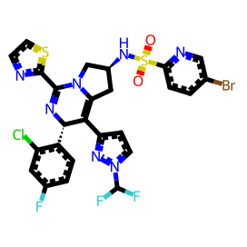 O=S(=O)(N[C@H]1CC2=C(c3ccn(C(F)F)n3)[C@H](c3ccc(F)cc3Cl)N=C(c3nccs3)N2C1)c1ccc(Br)cn1